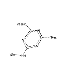 CCCCCCc1nc(CCCCCC)nc(NCCCC)n1